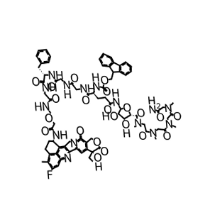 CC[C@@]1(O)C(=O)OCc2c1cc1n(c2=O)Cc2c-1nc1cc(F)c(C)c3c1c2[C@@H](NC(=O)COCNC(=O)CNC(=O)[C@H](Cc1ccccc1)NC(=O)CNC(=O)CNC(=O)[C@H](CCC(=O)NC1O[C@H](C(=O)N(C)CC(=O)N(C)CC(=O)N(C)CC(=O)N(C)CC(N)=O)[C@@H](O)[C@H]1O)NC(=O)OCC1c2ccccc2-c2ccccc21)CC3